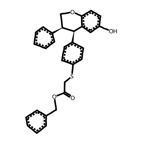 O=C(CSc1ccc([C@@H]2c3cc(O)ccc3OC[C@@H]2c2ccccc2)cc1)OCc1ccccc1